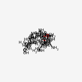 CC(C)C[C@H](NC(=O)[C@H](Cc1ccc(O)cc1)NC(=O)[C@@H](NC(=O)[C@H](CC(N)=O)NC(=O)CNC(=O)[C@H](CC(N)=O)NC(=O)[C@H](CO)NC(=O)[C@H](Cc1c[nH]cn1)NC(=O)[C@H](CC(C)C)NC(=O)[C@H](CC(C)C)NC(=O)[C@H](CO)NC(=O)[C@H](CCCCN)NC(=O)[C@H](CO)NC(=O)[C@H](CO)NC(=O)[C@@H](N)CCCNC(=N)N)[C@@H](C)O)C(=O)N[C@@H](Cc1ccc(O)cc1)C(=O)O